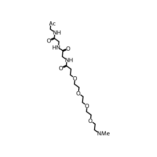 CNCCOCCOCCOCCOCCC(=O)NCC(=O)NCC(=O)NCC(C)=O